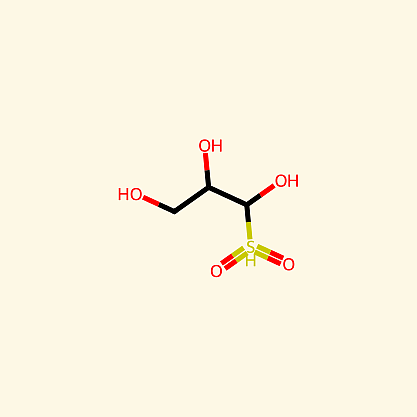 O=[SH](=O)C(O)C(O)CO